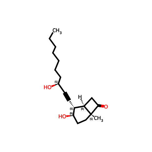 CCCCCCC[C@H](O)C#C[C@H]1[C@H](O)CC[C@]2(C)C(=O)C[C@H]12